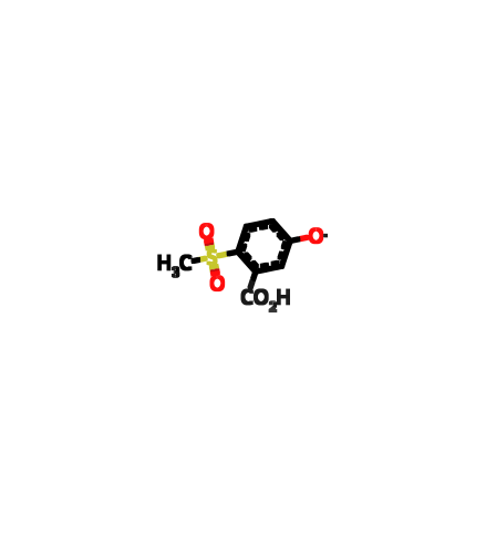 CS(=O)(=O)c1ccc([O])cc1C(=O)O